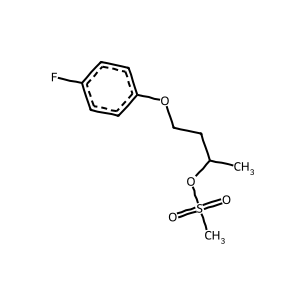 CC(CCOc1ccc(F)cc1)OS(C)(=O)=O